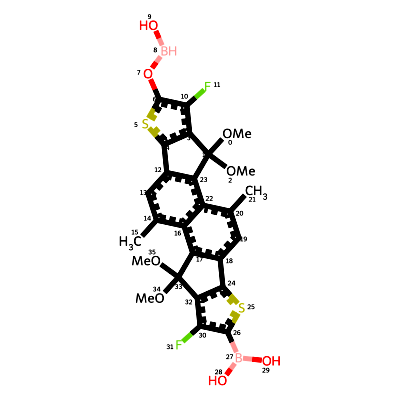 COC1(OC)c2c(sc(OBO)c2F)-c2cc(C)c3c4c(cc(C)c3c21)-c1sc(B(O)O)c(F)c1C4(OC)OC